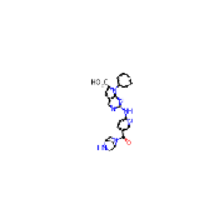 O=C(O)c1cc2cnc(Nc3ccc(C(=O)N4CC5CC4CN5)cn3)nc2n1-c1ccccc1